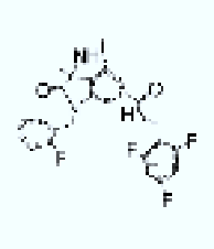 CC1(N)C(=O)N(Cc2ccccc2F)c2cc(C(=O)NCc3c(F)cc(F)cc3F)cc(I)c21